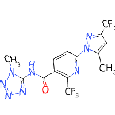 Cc1cc(C(F)(F)F)nn1-c1ccc(C(=O)Nc2nnnn2C)c(C(F)(F)F)n1